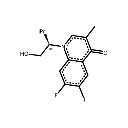 Cc1cn([C@@H](CO)C(C)C)c2cc(F)c(I)cc2c1=O